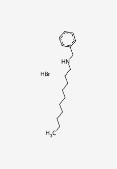 Br.CCCCCCCCCCNCc1ccccc1